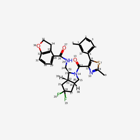 Cc1cccc(-c2sc(C)nc2C(=O)N2C[C@@H]3CC(F)(F)C[C@@H]3[C@H]2CNC(=O)c2cccc3c2CCO3)c1